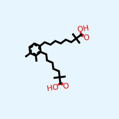 Cc1ccc(CCCCCCC(C)(C)C(=O)O)c(CCCCCC(C)(C)C(=O)O)c1C